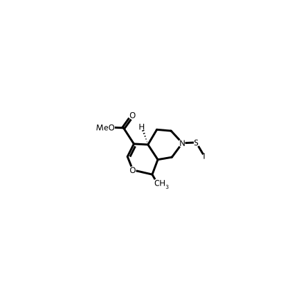 COC(=O)C1=COC(C)C2CN(SI)CC[C@H]12